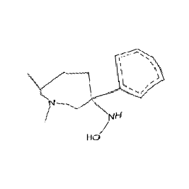 CC1CCC(NO)(c2ccccc2)CN1C